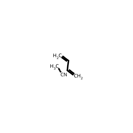 C=CC=C.CC#N